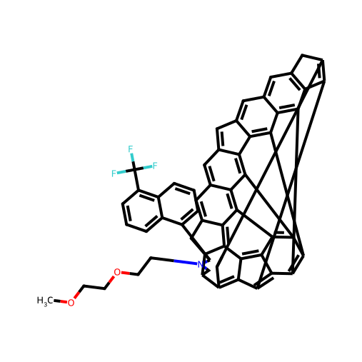 COCCOCCN1CC2C3=c4c5c6c7c(cc8cc9cc%10cc%11cc%12c%13c(c4c4c5c5c7c8c7c9c%10c8c%11c%13c4c8c75)=C(C3)C%12)CC62C1c1cccc2c(C(F)(F)F)cccc12